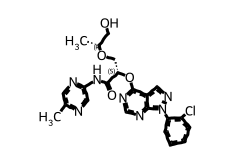 Cc1cnc(NC(=O)[C@H](CO[C@H](C)CO)Oc2ncnc3c2cnn3-c2ccccc2Cl)cn1